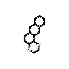 c1ccc2cc3c(ccc4nccnc43)cc2c1